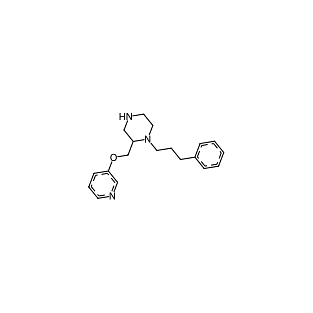 c1ccc(CCCN2CCNCC2COc2cccnc2)cc1